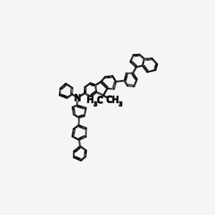 CC1(C)c2cc(-c3cccc(-c4cccc5ccccc45)c3)ccc2-c2ccc(N(c3ccccc3)c3ccc(-c4ccc(-c5ccccc5)cc4)cc3)cc21